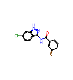 O=C(Nc1n[nH]c2cc(Cl)ccc12)C1=CC(=S)CC=C1